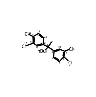 [CH2]C(CCCC)(c1ccc(Cl)c(Cl)c1)c1ccc(Cl)c(Cl)c1